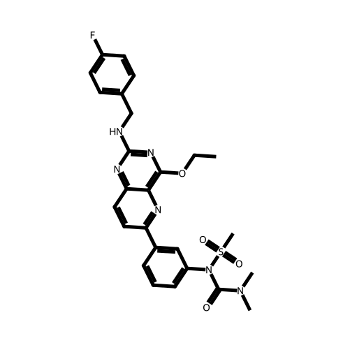 CCOc1nc(NCc2ccc(F)cc2)nc2ccc(-c3cccc(N(C(=O)N(C)C)S(C)(=O)=O)c3)nc12